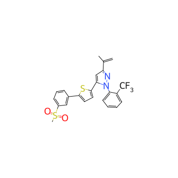 C=C(C)c1cc(-c2ccc(-c3cccc(S(C)(=O)=O)c3)s2)n(-c2ccccc2C(F)(F)F)n1